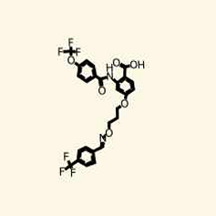 O=C(Nc1cc(OCCCON=Cc2ccc(C(F)(F)F)cc2)ccc1C(=O)O)c1ccc(OC(F)(F)F)cc1